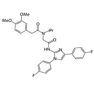 COc1ccc(CC(=O)N(CC(=O)Nc2nc(-c3ccc(F)cc3)cn2-c2ccc(F)cc2)C(C)C)cc1OC